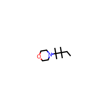 CCC(C)(C)C(C)(C)N1CCOCC1